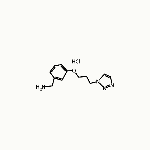 Cl.NCc1cccc(OCCCn2ccnn2)c1